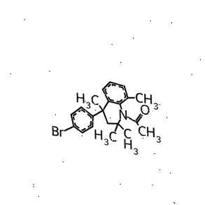 CC(=O)N1c2c(C)cccc2C(C)(c2ccc(Br)cc2)CC1(C)C